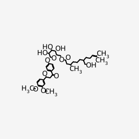 COc1ccc(C2CC(=O)c3ccc(OC4OC(COC(=O)CC(C)CCCC(CO)CCC=C(C)C)C(O)C(O)C4O)cc3O2)cc1OC